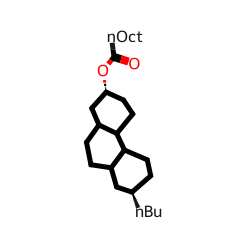 CCCCCCCCC(=O)O[C@@H]1CCC2C(CCC3C[C@H](CCCC)CCC32)C1